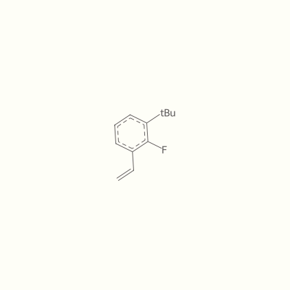 C=Cc1cccc(C(C)(C)C)c1F